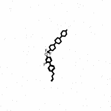 C=CCCc1ccc(-c2ccc(OC(F)(F)C3CCC(C4CCC(C5CCC(C)CC5)CC4)CC3)cc2F)cc1